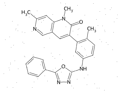 Cc1cc2c(cn1)cc(-c1cc(Nc3nnc(-c4ccccc4)o3)ccc1C)c(=O)n2C